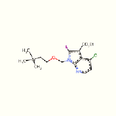 CCOC(=O)c1c(I)n(COCC[Si](C)(C)C)c2nccc(Cl)c12